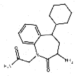 NC(=O)CN1C(=O)C(N)CC(C2CCCCC2)c2ccccc21